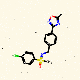 CS(=O)(=NCc1ccc(-c2noc(C(F)(F)F)n2)cc1)c1ccc(Cl)cc1